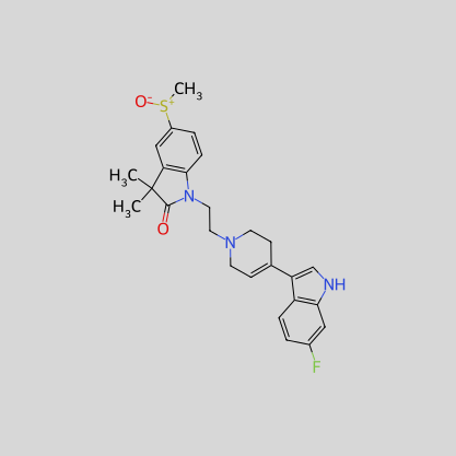 C[S+]([O-])c1ccc2c(c1)C(C)(C)C(=O)N2CCN1CC=C(c2c[nH]c3cc(F)ccc23)CC1